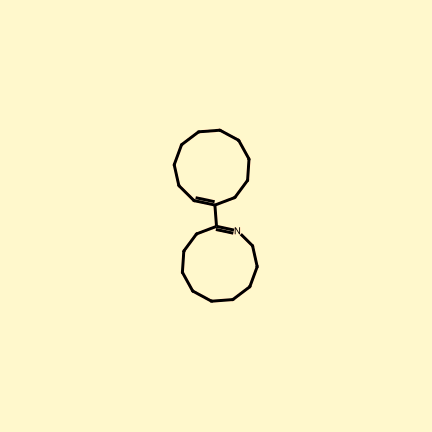 C1=C(C2=NCCCCCCCCC2)CCCCCCCCC1